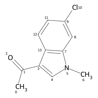 CC(=O)c1cn(C)c2cc(Cl)ccc12